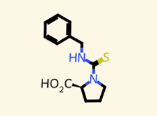 O=C(O)[C@@H]1CCCN1C(=S)NCc1ccccc1